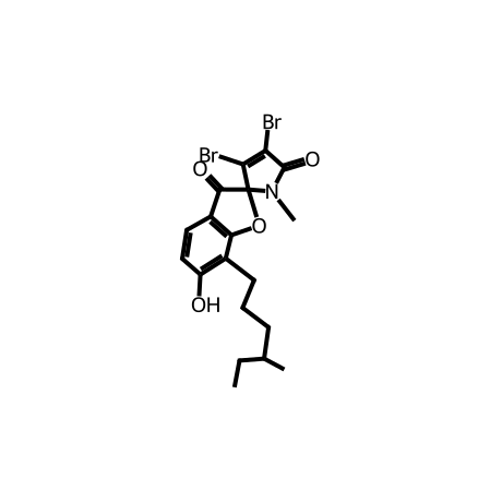 CCC(C)CCCc1c(O)ccc2c1OC1(C2=O)C(Br)=C(Br)C(=O)N1C